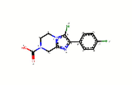 O=C(O)N1CCn2c(nc(-c3ccc(F)cc3)c2Br)C1